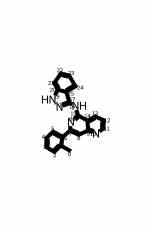 Cc1ccccc1-c1cc2ncccc2c(Nc2n[nH]c3ccccc23)n1